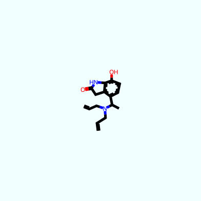 C=CCN(CC=C)C(C)c1ccc(O)c2c1CC(=O)N2